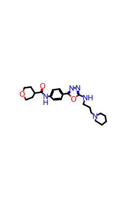 O=C(Nc1ccc(-c2nnc(NCCCN3CCCCC3)o2)cc1)C1CCOCC1